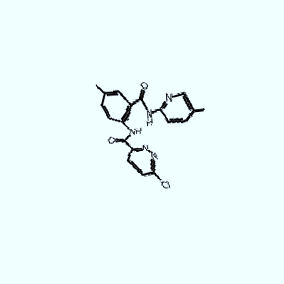 Cc1ccc(NC(=O)c2cc(C)ccc2NC(=O)c2ccc(Cl)nn2)nc1